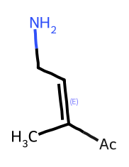 CC(=O)/C(C)=C/CN